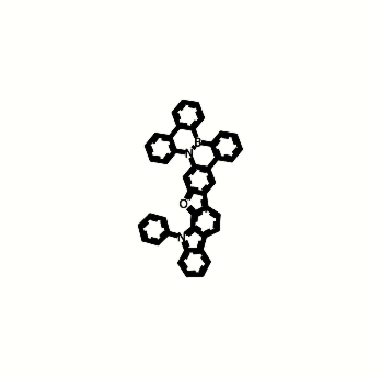 c1ccc(-n2c3ccccc3c3ccc4c5cc6c(cc5oc4c32)N2B(c3ccccc3-c3ccccc32)c2ccccc2-6)cc1